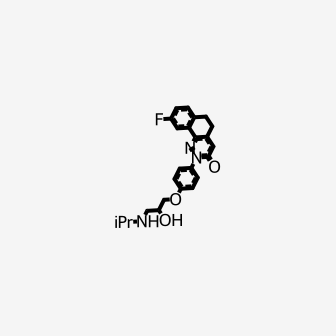 CC(C)NCC(O)COc1ccc(-n2nc3c(cc2=O)CCc2ccc(F)cc2-3)cc1